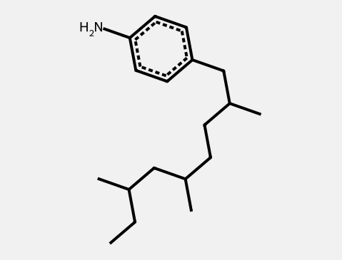 CCC(C)CC(C)CCC(C)Cc1ccc(N)cc1